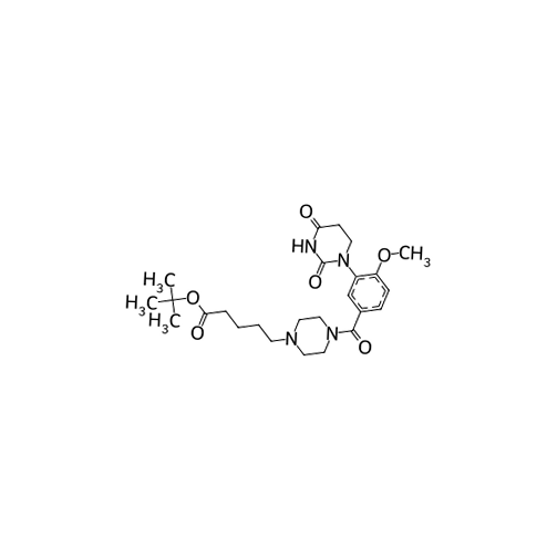 COc1ccc(C(=O)N2CCN(CCCCC(=O)OC(C)(C)C)CC2)cc1N1CCC(=O)NC1=O